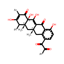 CC(=O)C1=C(O)C(C(C)C)[C@@]2(C)C[C@@]3(C)Cc4c(C(=O)C(=O)C(C)C)ccc(O)c4C(=O)C3=C(O)[C@@]2(O)C1=O